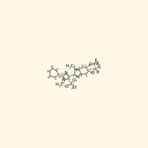 CCS(=O)(=O)c1c(-c2nc3cc4c(cc3n2C)OC(F)(F)C(F)(F)O4)nc(-c2ccccc2)n1C